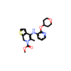 COC(=O)N1Cc2sccc2C(Nc2cccnc2OC2CCOCC2)=C1C